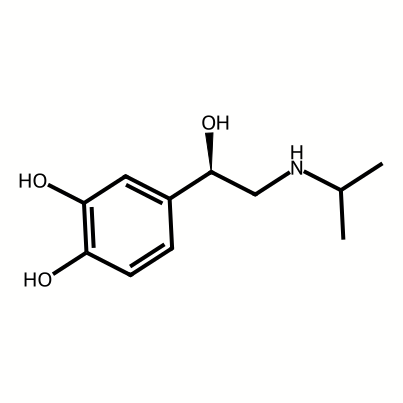 CC(C)NC[C@H](O)c1ccc(O)c(O)c1